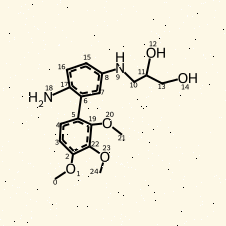 COc1ccc(-c2cc(NCC(O)CO)ccc2N)c(OC)c1OC